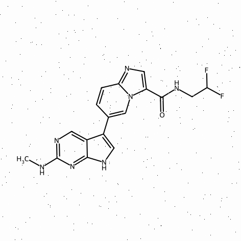 CNc1ncc2c(-c3ccc4ncc(C(=O)NCC(F)F)n4c3)c[nH]c2n1